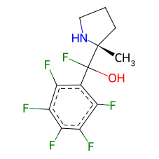 C[C@]1(C(O)(F)c2c(F)c(F)c(F)c(F)c2F)CCCN1